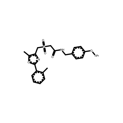 CCCOc1ccc(CNC(=O)CS(=O)(=O)Cc2nc(-c3ccccc3C)oc2C)cc1